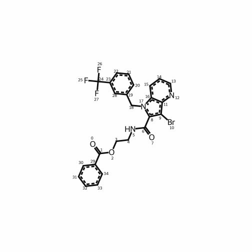 O=C(OCCNC(=O)c1c(Br)c2ncccc2n1Cc1cccc(C(F)(F)F)c1)c1ccccc1